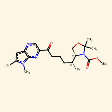 CCC[C@H](CCCC(=O)c1cnc2cc(C(C)(C)C)n(C)c2n1)[C@@H]1COC(C)(C)N1C(=O)OC(C)(C)C